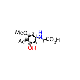 COc1cc(NCC(=O)O)cc(O)c1C(C)=O